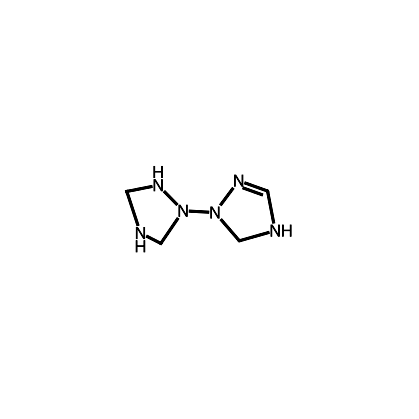 C1=NN(N2CNCN2)CN1